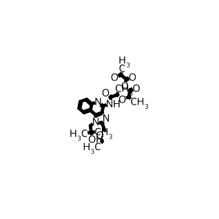 CCOCc1nc2c(NC(=O)C(C)OC(C)C(=O)OC(=O)C(C)=O)nc3ccccc3c2n1CC(C)(C)O